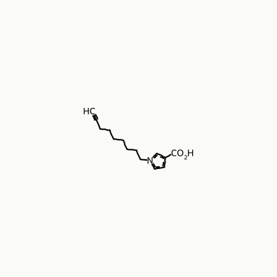 C#CCCCCCCCn1ccc(C(=O)O)c1